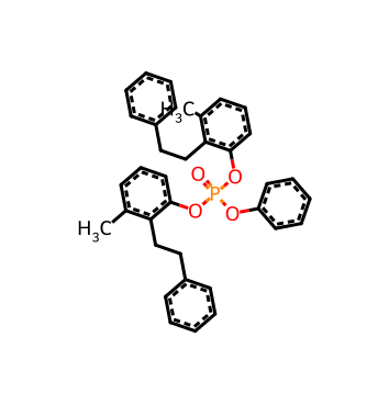 Cc1cccc(OP(=O)(Oc2ccccc2)Oc2cccc(C)c2CCc2ccccc2)c1CCc1ccccc1